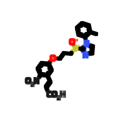 Cc1ccccc1-n1ccnc1[S+]([O-])CCCOc1ccc([N+](=O)[O-])c(/C=C/C(=O)O)c1